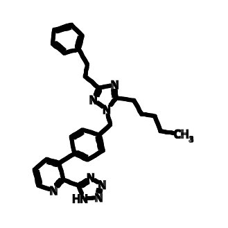 CCCCCc1nc(CCc2ccccc2)nn1Cc1ccc(-c2cccnc2-c2nnn[nH]2)cc1